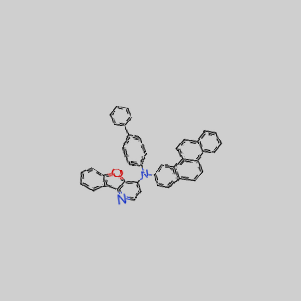 c1ccc(-c2ccc(N(c3ccc4ccc5c6ccccc6ccc5c4c3)c3ccnc4c3oc3ccccc34)cc2)cc1